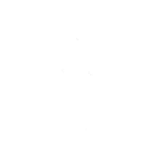 CN(C)C(=O)c1cc(F)ccc1Cc1cnc2c(O)c(C(=O)NCCO)c(=O)n(C)c2c1